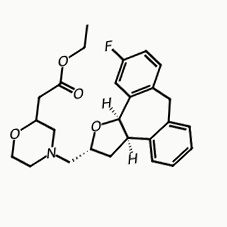 CCOC(=O)CC1CN(C[C@H]2C[C@@H]3c4ccccc4Cc4ccc(F)cc4[C@@H]3O2)CCO1